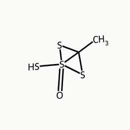 CC12SS1(=O)(S)S2